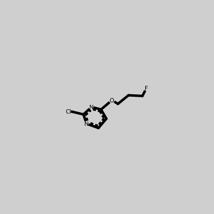 FCCCOc1ccnc(Cl)n1